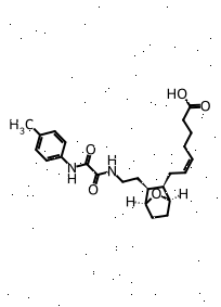 Cc1ccc(NC(=O)C(=O)NCC[C@H]2[C@@H](C/C=C\CCCC(=O)O)[C@H]3CC[C@@H]2O3)cc1